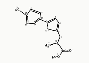 COC(=O)[C@@H](N)Cc1ccc(-c2ccc(C#N)cc2)s1